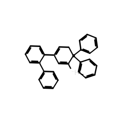 CC(C)(C)C1=CC(c2ccccc2-c2ccccc2)=CCC1(c1ccccc1)c1ccccc1